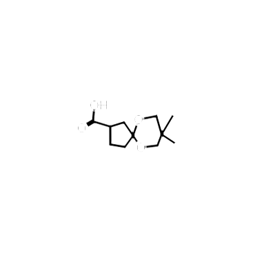 CC1(C)COC2(CCC(C(=O)O)C2)OC1